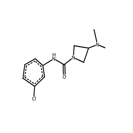 CN(C)C1CN(C(=O)Nc2cccc(Cl)c2)C1